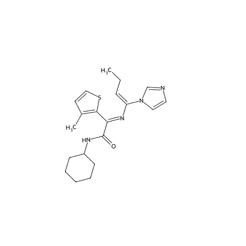 CC/C=C(/N=C(/C(=O)NC1CCCCC1)c1sccc1C)n1ccnc1